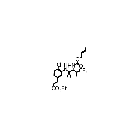 C/C=C/COC(=O)NC(C(=O)Nc1cc(CCC(=O)OCC)ccc1Cl)C(C)C(F)(F)F